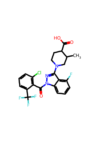 CC1CN(c2nn(C(=O)c3c(Cl)cccc3C(F)(F)F)c3cccc(F)c23)CCC1C(=O)O